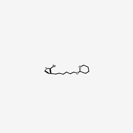 Brc1sccc1CCCCCCOC1CCCCO1